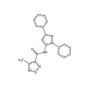 Cc1nonc1C(=O)Nc1cc(-c2ccccc2)nn1-c1ccccc1